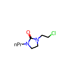 CCCN1CCN(CCCl)C1=O